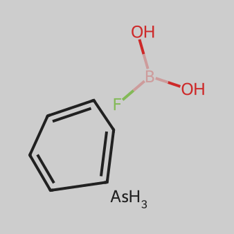 OB(O)F.[AsH3].c1ccccc1